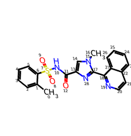 Cc1ccccc1S(=O)(=O)NC(=O)c1cn(C)c(-c2nccc3ccccc23)n1